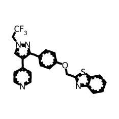 FC(F)(F)Cn1cc(-c2ccncc2)c(-c2ccc(OCc3nc4ccccc4s3)cc2)n1